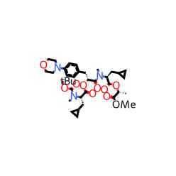 COC(=O)[C@@H](C)OC(=O)[C@H](CC1CC1)N(C)C(=O)[C@@H](Cc1ccc(N2CCOCC2)cc1)OC(=O)[C@H](CC1CC1)N(C)C(=O)OC(C)(C)C